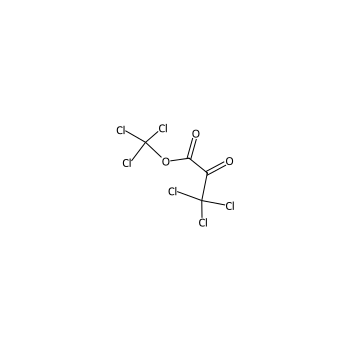 O=C(OC(Cl)(Cl)Cl)C(=O)C(Cl)(Cl)Cl